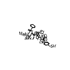 CN[C@H](C(=O)N[C@H](C(=O)N(C)[C@H](C=C(C)C(=O)NS(=O)(=O)c1ccc(CS)cc1)C(C)C)C(C)(C)C)C(C)(C)c1ccccc1